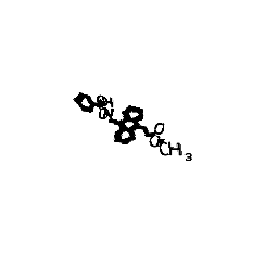 CCOC(=O)CCc1c2ccccc2c(CNOC(=O)c2ccccc2)c2ccccc12